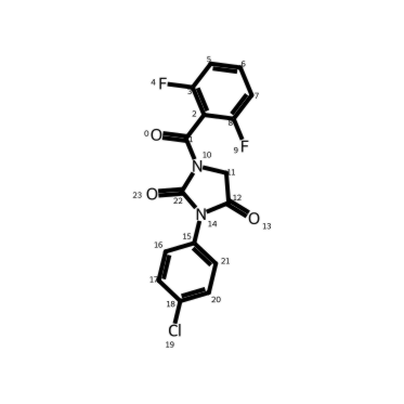 O=C(c1c(F)cccc1F)N1CC(=O)N(c2ccc(Cl)cc2)C1=O